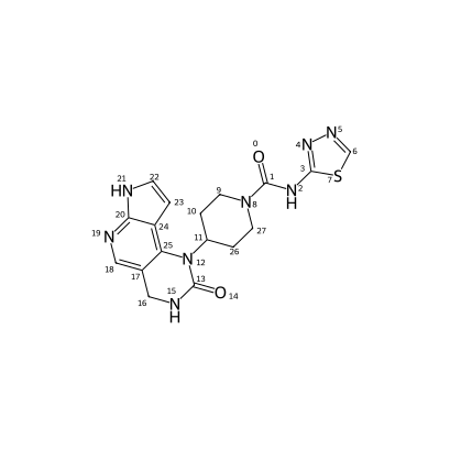 O=C(Nc1nncs1)N1CCC(N2C(=O)NCc3cnc4[nH]ccc4c32)CC1